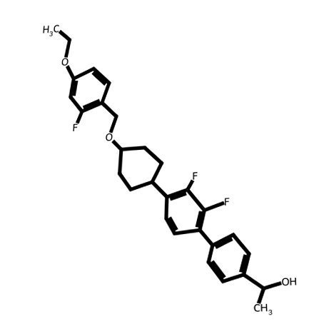 CCOc1ccc(COC2CCC(c3ccc(-c4ccc(C(C)O)cc4)c(F)c3F)CC2)c(F)c1